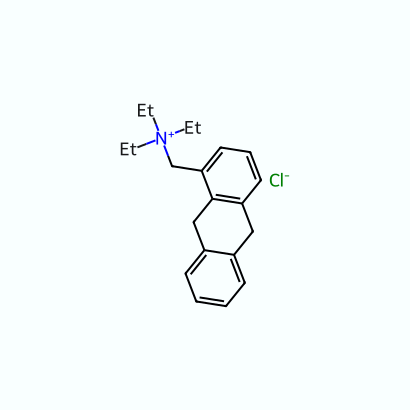 CC[N+](CC)(CC)Cc1cccc2c1Cc1ccccc1C2.[Cl-]